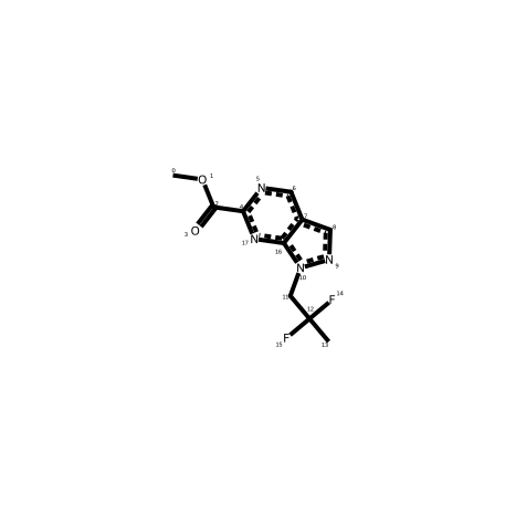 COC(=O)c1ncc2cnn(CC(C)(F)F)c2n1